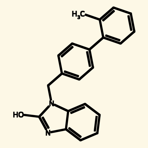 Cc1ccccc1-c1ccc(Cn2c(O)nc3ccccc32)cc1